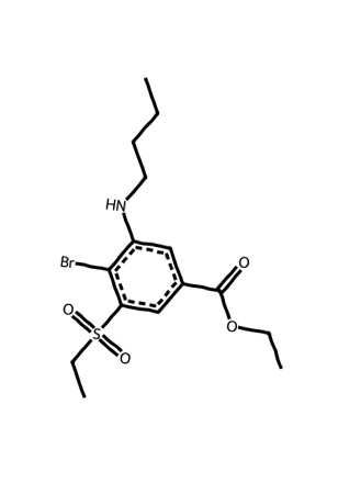 CCCCNc1cc(C(=O)OCC)cc(S(=O)(=O)CC)c1Br